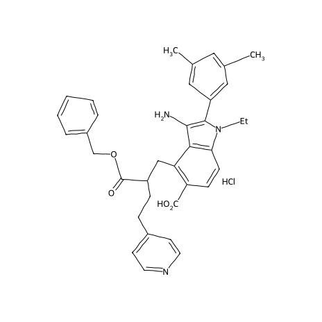 CCn1c(-c2cc(C)cc(C)c2)c(N)c2c(CC(CCc3ccncc3)C(=O)OCc3ccccc3)c(C(=O)O)ccc21.Cl